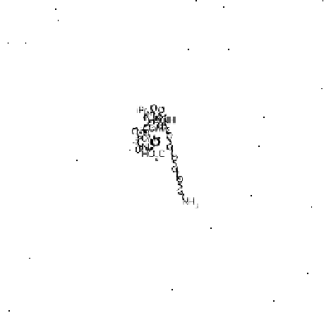 CC[C@H](C)[C@@H]([C@@H](CC(=O)N1CCC[C@H]1[C@H](OC)[C@@H](C)C(=O)N[C@@H](Cc1ccccc1)C(=O)O)OC)N(C)[C@H](C(=O)NC(=O)C(C)(C)NC(=O)CCOCCOCCOCCOCCOCCOCCN)C(C)C